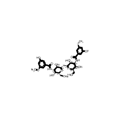 COc1cc(O)cc(C(=O)N[C@H]2[C@@H](O)[C@@H](CO)O[C@@H](S[C@@H]3O[C@H](CO)[C@H](O)[C@H](NC(=O)c4cc(O)cc(OC)c4)[C@H]3O)[C@@H]2O)c1